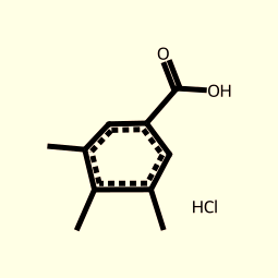 Cc1cc(C(=O)O)cc(C)c1C.Cl